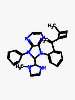 C=C(C1=CC=C1C)c1ccccc1N1c2nccnc2N(c2ccccc2)C1C1NC=CN1C